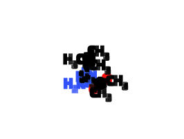 COc1ccc(OC)c(-c2nc3c(N)ncn(CCc4c(C)cc(C)cc4C)c-3n2)c1